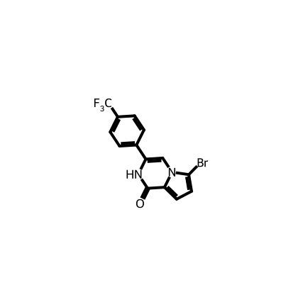 O=c1[nH]c(-c2ccc(C(F)(F)F)cc2)cn2c(Br)ccc12